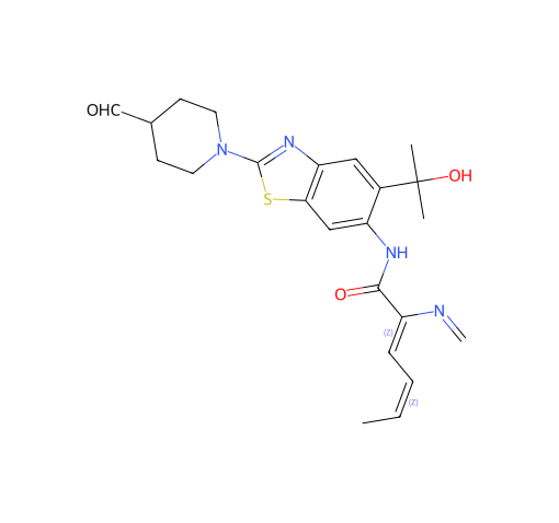 C=N/C(=C\C=C/C)C(=O)Nc1cc2sc(N3CCC(C=O)CC3)nc2cc1C(C)(C)O